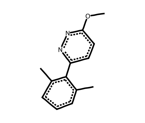 COc1ccc(-c2c(C)cccc2C)nn1